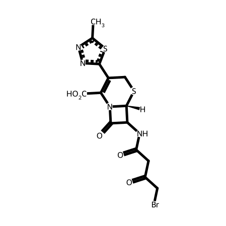 Cc1nnc(C2=C(C(=O)O)N3C(=O)C(NC(=O)CC(=O)CBr)[C@H]3SC2)s1